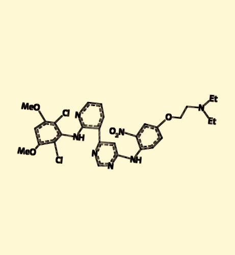 CCN(CC)CCOc1ccc(Nc2cc(-c3cccnc3Nc3c(Cl)c(OC)cc(OC)c3Cl)ncn2)c([N+](=O)[O-])c1